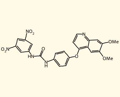 COc1cc2nccc(Oc3ccc(NC(=O)Nc4cc([N+](=O)[O-])cc([N+](=O)[O-])c4)cc3)c2cc1OC